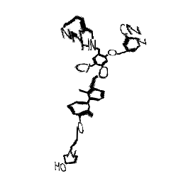 Cc1c(COc2cc(OCc3cncc(C#N)c3)c(CNCc3cccnn3)cc2Cl)cccc1-c1cccc(OCCCN2CCC(O)C2)c1C